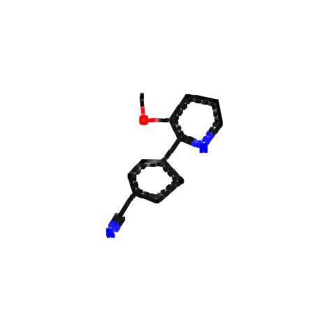 COc1cccnc1-c1ccc(C#N)cc1